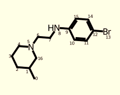 CC1CCCN(CCNc2ccc(Br)cc2)C1